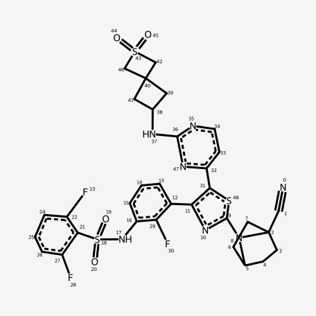 N#CC12CCC(CC1)N2c1nc(-c2cccc(NS(=O)(=O)c3c(F)cccc3F)c2F)c(-c2ccnc(NC3CC4(C3)CS(=O)(=O)C4)n2)s1